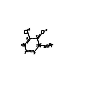 CCCn1ccnc(Cl)c1=O